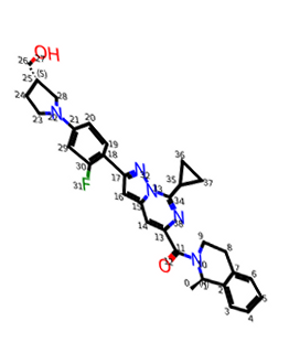 C[C@@H]1c2ccccc2CCN1C(=O)c1cc2cc(-c3ccc(N4CC[C@H](CO)C4)cc3F)nn2c(C2CC2)n1